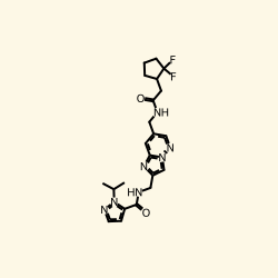 CC(C)n1nccc1C(=O)NCc1cn2ncc(CNC(=O)CC3CCCC3(F)F)cc2n1